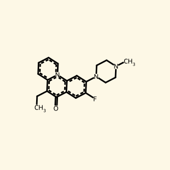 CCc1c(=O)c2cc(F)c(N3CCN(C)CC3)cc2n2ccccc12